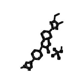 CCc1nn(-c2ccc3cc(-c4ccc(-n5cn[n+](C)c5)cc4)c(=O)oc3c2)nc1C.COS(=O)(=O)[O-]